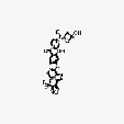 O=C(c1ccc(Oc2nccn3c(-c4conc4C(F)(F)F)cnc23)cc1O)N1CCN(C(=O)[C@@H]2C[C@@H](O)CO2)CC1